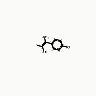 C/C(C#N)=C(\N)c1ccc(Cl)cc1